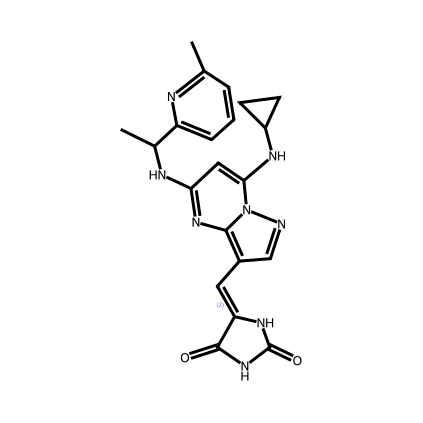 Cc1cccc(C(C)Nc2cc(NC3CC3)n3ncc(/C=C4\NC(=O)NC4=O)c3n2)n1